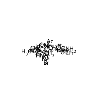 CC(=O)c1nn(CC(=O)N2[C@H](C(=O)Nc3nc(Br)ccc3C)C[C@@]3(CN(C)C)C[C@@H]23)c2ccc(-c3cnc(OC(=O)[C@@H](N)C(C)C)nc3)cc12